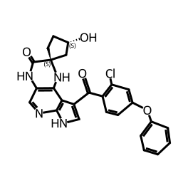 O=C(c1ccc(Oc2ccccc2)cc1Cl)c1c[nH]c2ncc3c(c12)N[C@]1(CC[C@H](O)C1)C(=O)N3